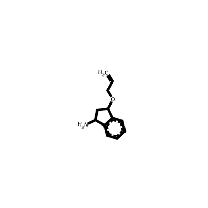 C=CCOC1CC(N)c2ccccc21